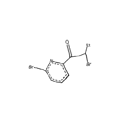 CCC(Br)C(=O)c1cccc(Br)n1